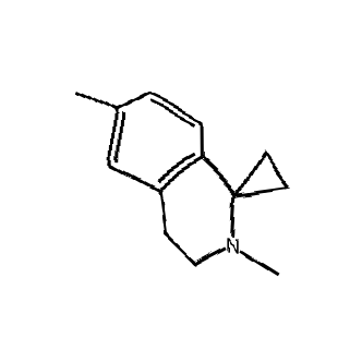 Cc1ccc2c(c1)CCN(C)C21CC1